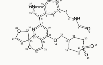 O=CNCCc1cc2c(-c3cc(OCC4CCS(=O)(=O)CC4)c4c(n3)C3(C=COC3)OC=C4)c[nH]c2cn1